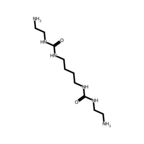 NCCNC(=O)NCCCCNC(=O)NCCN